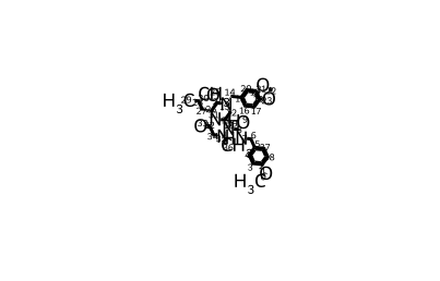 COc1ccc(CNC(=O)N2[C@H]3CN(Cc4ccc5c(c4)OCO5)C(=O)[C@H](CC(C)C)N3C(=O)CN2C)cc1